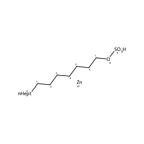 CCCCCCCCCCCCCCOS(=O)(=O)O.[Zn]